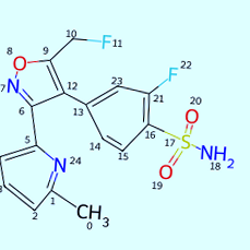 Cc1cccc(-c2noc(CF)c2-c2ccc(S(N)(=O)=O)c(F)c2)n1